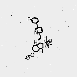 COCO[C@@H]1CC[C@@H]2[C@@H](C1)C[C@@H](NS(C)(=O)=O)[C@H]2/C=C/c1ccc(-c2cccc(F)c2)cn1